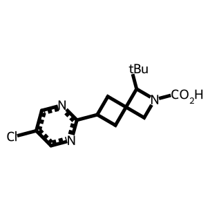 CC(C)(C)C1N(C(=O)O)CC12CC(c1ncc(Cl)cn1)C2